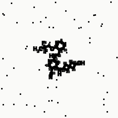 CC(F)(F)COc1ncncc1CNc1ncc(C#N)c(NC2CC3(CC(O)C3)C2)n1